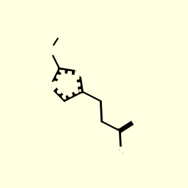 CSc1ncc([CH]CC(N)=O)o1